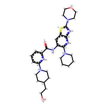 O=C(Nc1cc2sc(N3CCOCC3)nc2nc1N1CCCCC1)c1cccc(N2CCC(CCO)CC2)n1